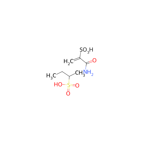 C=C(C(N)=O)S(=O)(=O)O.CCC(C)S(=O)(=O)O